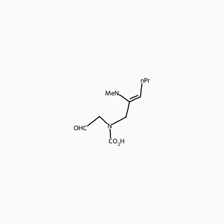 CCC/C=C(/CN(CC=O)C(=O)O)NC